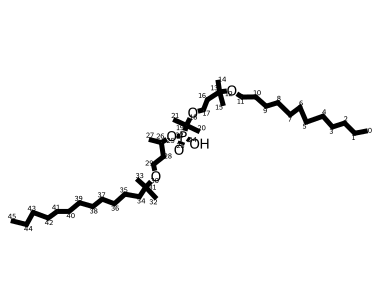 CCCCCCCCCCCCOC(C)(C)CCOC(C)(C)P(=O)(O)OC(C)CCOC(C)(C)CCCCCCCCCCCC